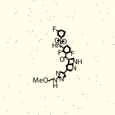 COCCNc1ncc(-c2cnc3[nH]cc(C(=O)c4c(F)ccc(NS(=O)(=O)c5cccc(F)c5)c4F)c3c2)cn1